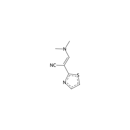 CN(C)/C=C(\C#N)c1nccs1